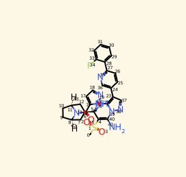 CS(=O)(=O)c1c([C@H]2C[C@H]3CC[C@@H](C2)N3C(=O)c2ccn[nH]2)nc2c(-c3ccc(-c4ccccc4F)nc3)cnn2c1N